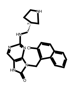 O=c1[nH]c2cnc(NC[C@@H]3CCNC3)nc2n1Cc1c(Cl)ccc2ccccc12